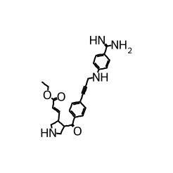 CCOC(=O)/C=C/C1CNCC1C(=O)c1ccc(C#CCNc2ccc(C(=N)N)cc2)cc1